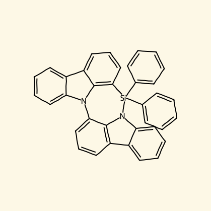 c1ccc([Si]2(c3ccccc3)c3cccc4c5ccccc5n(c34)-c3cccc4c5ccccc5n2c34)cc1